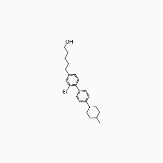 CCc1cc(CCCCCO)ccc1-c1ccc(C2CCC(C)CC2)cc1